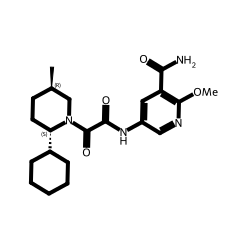 COc1ncc(NC(=O)C(=O)N2C[C@H](C)CC[C@H]2C2CCCCC2)cc1C(N)=O